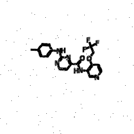 Cc1ccc(Nc2nccc(C(=O)Nc3cnccc3OCC(F)(F)F)n2)cc1